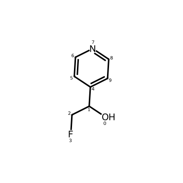 OC(CF)c1ccncc1